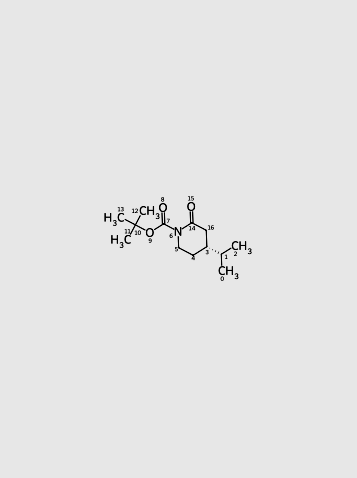 CC(C)[C@@H]1CCN(C(=O)OC(C)(C)C)C(=O)C1